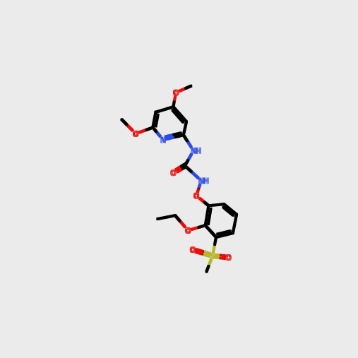 CCOc1c(ONC(=O)Nc2cc(OC)cc(OC)n2)cccc1S(C)(=O)=O